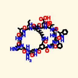 CCCC[C@@H]1NC(=O)[C@@H]2CCCCNC(=O)c3cc(cc(c3)C(=O)N[C@@H](C)C(=O)N[C@H](Cc3ccccc3)C(=O)N[C@@H](Cc3c[nH]c4ccccc34)C(=O)NC([C@H](C)O)C(=O)N[C@H](CCC(=O)O)C(=O)N2)C(=O)NC[C@@H](C(N)=O)NC(=O)[C@H](Cc2c[nH]cn2)NC(=O)[C@H](C)NC(=O)[C@@H](CC(C)C)NC1=O